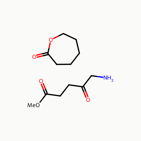 COC(=O)CCC(=O)CN.O=C1CCCCCO1